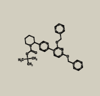 CC(C)(C)OC(=O)N1CCCCC1c1ccc(-c2ccc(OCc3ccccc3)nc2OCc2ccccc2)cc1